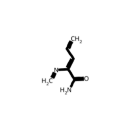 C=C/C=C(\N=C)C(N)=O